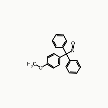 COc1ccc(C(N=O)(c2ccccc2)c2ccccc2)cc1